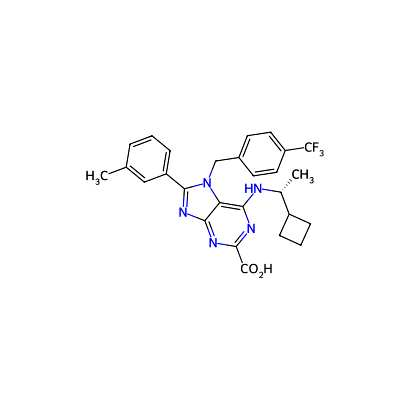 Cc1cccc(-c2nc3nc(C(=O)O)nc(N[C@H](C)C4CCC4)c3n2Cc2ccc(C(F)(F)F)cc2)c1